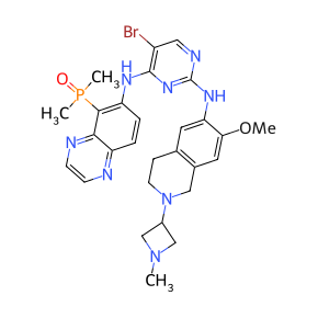 COc1cc2c(cc1Nc1ncc(Br)c(Nc3ccc4nccnc4c3P(C)(C)=O)n1)CCN(C1CN(C)C1)C2